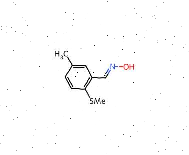 CSc1ccc(C)cc1C=NO